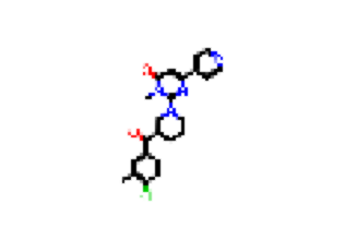 Cc1cc(C(=O)C2CCCN(c3nc(-c4ccncc4)cc(=O)n3C)C2)ccc1Cl